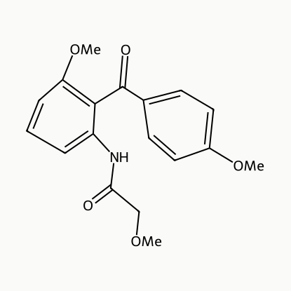 COCC(=O)Nc1cccc(OC)c1C(=O)c1ccc(OC)cc1